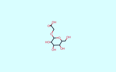 O=C(O)COC1OC(CO)C(O)C(O)C1O